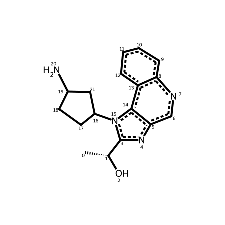 C[C@@H](O)c1nc2cnc3ccccc3c2n1C1CCC(N)C1